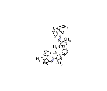 COC(=O)c1c(C)nsc1/N=N/c1c(C)nn(-c2cc(-n3nc(C)c(/N=N/c4snc(C)c4C(=O)OC)c3N)ncn2)c1N